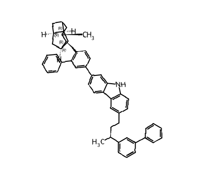 CC(CCc1ccc2[nH]c3cc(-c4ccc([C@H]5[C@@H]6C[C@H]7CC(C[C@@H]5C)[C@H]7C6)c(-c5ccccc5)c4)ccc3c2c1)c1cccc(-c2ccccc2)c1